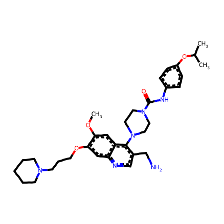 COc1cc2c(N3CCN(C(=O)Nc4ccc(OC(C)C)cc4)CC3)c(CN)cnc2cc1OCCCN1CCCCC1